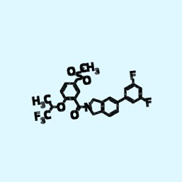 CC(Oc1ccc(S(C)(=O)=O)cc1C(=O)N1Cc2ccc(-c3cc(F)cc(F)c3)cc2C1)C(F)(F)F